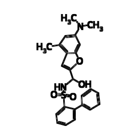 Cc1cc(N(C)C)cc2oc(C(O)NS(=O)(=O)c3ccccc3-c3ccccc3)cc12